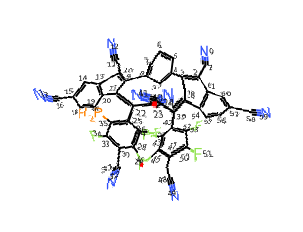 N#CC1=C(c2cccc(C3=C(C#N)c4cc(C#N)ccc4/C3=C(/C#N)c3c(F)c(F)c(C#N)c(F)c3P)c2)/C(=C(\C#N)c2c(F)c(F)c(C#N)c(F)c2F)c2ccc(C#N)cc21